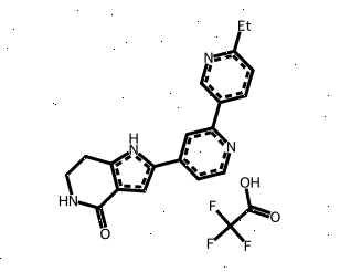 CCc1ccc(-c2cc(-c3cc4c([nH]3)CCNC4=O)ccn2)cn1.O=C(O)C(F)(F)F